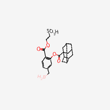 BCc1ccc(C(=O)OCCS(=O)(=O)O)c(OC(=O)C23CC4CC(C2)C2CC3C2C4)c1